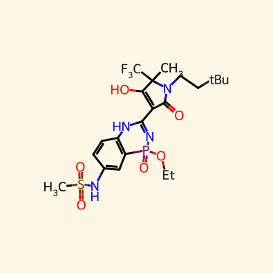 CCOP1(=O)N=C(C2=C(O)C(C)(C(F)(F)F)N(CCC(C)(C)C)C2=O)Nc2ccc(NS(C)(=O)=O)cc21